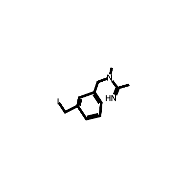 CC(=N)N(C)Cc1cccc(CI)c1